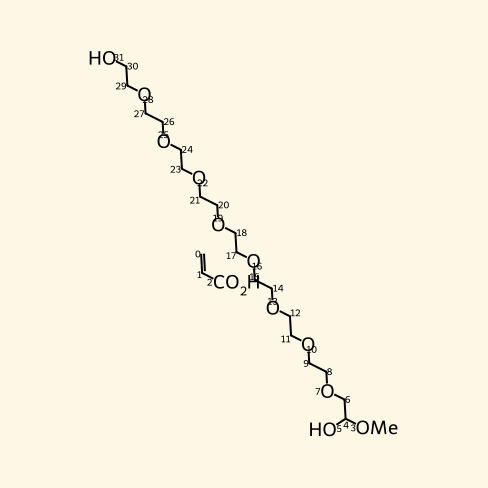 C=CC(=O)O.COC(O)COCCOCCOCCOCCOCCOCCOCCOCCO